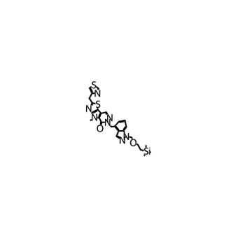 Cn1c2nc(Cc3cscn3)sc2c2cnn(Cc3cccc4c3cnn4COCC[Si](C)(C)C)c(=O)c21